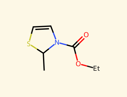 CCOC(=O)N1C=CSC1C